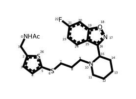 CC(=O)NCc1ccc(SCCCN2CCCCC2c2noc3cc(F)ccc23)s1